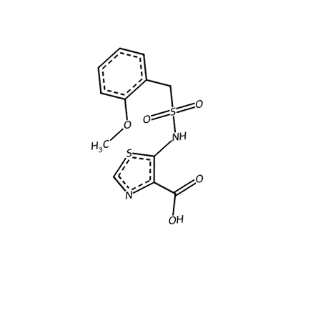 COc1ccccc1CS(=O)(=O)Nc1scnc1C(=O)O